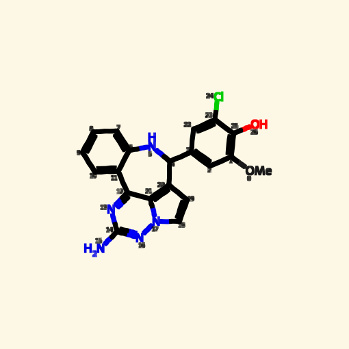 COc1cc(C2Nc3ccccc3-c3nc(N)nn4ccc2c34)cc(Cl)c1O